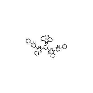 c1ccc(-c2ccc(-c3nc(-c4cc(-c5nc(-c6ccc(-c7ccccc7)nc6)c6ccccc6n5)cc(-n5c6cccc7ccc8cccc5c8c76)c4)nc4ccccc34)cn2)cc1